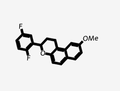 COc1ccc2ccc3c(c2c1)CCC(c1cc(F)ccc1F)O3